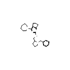 c1ccc(CN2CCCC2CNc2nc3c(c(N4CCCCCC4)n2)CCC3)cc1